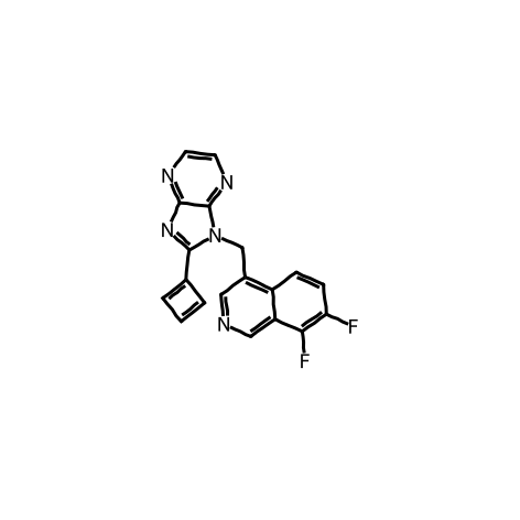 Fc1ccc2c(Cn3c(C4=CC=C4)nc4nccnc43)cncc2c1F